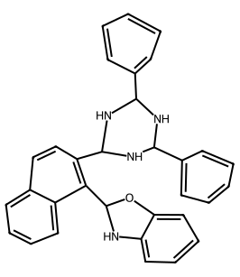 c1ccc(C2NC(c3ccccc3)NC(c3ccc4ccccc4c3C3Nc4ccccc4O3)N2)cc1